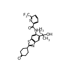 CC(C)(O)c1cc2nc(C3CCC(=O)CC3)sc2cc1NC(=O)c1cccc(C(F)(F)F)n1